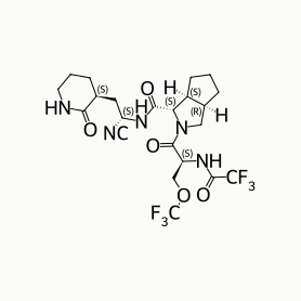 N#C[C@H](C[C@@H]1CCCNC1=O)NC(=O)[C@@H]1[C@H]2CCC[C@H]2CN1C(=O)[C@H](COC(F)(F)F)NC(=O)C(F)(F)F